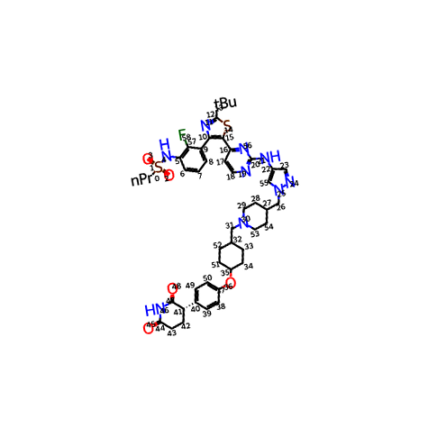 CCCS(=O)(=O)Nc1cccc(-c2nc(C(C)(C)C)sc2-c2ccnc(Nc3cnn(CC4CCN(CC5CCC(Oc6ccc([C@@H]7CCC(=O)NC7=O)cc6)CC5)CC4)c3)n2)c1F